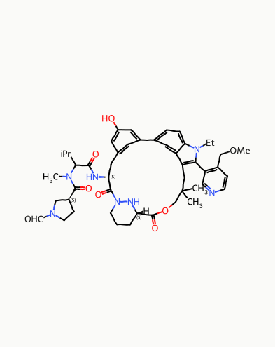 CCn1c(-c2cnccc2COC)c2c3cc(ccc31)-c1cc(O)cc(c1)C[C@H](NC(=O)C(C(C)C)N(C)C(=O)[C@H]1CCN(C=O)C1)C(=O)N1CCC[C@H](N1)C(=O)OCC(C)(C)C2